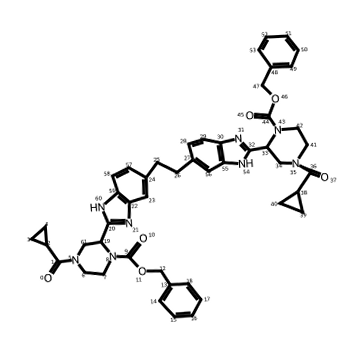 O=C(C1CC1)N1CCN(C(=O)OCc2ccccc2)C(c2nc3cc(CCc4ccc5nc(C6CN(C(=O)C7CC7)CCN6C(=O)OCc6ccccc6)[nH]c5c4)ccc3[nH]2)C1